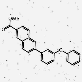 COC(=O)c1ccc2cc(-c3cccc(Oc4ccccc4)c3)ccc2c1